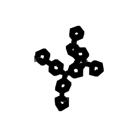 c1ccc(-n2ccc3c4c5cc(N(c6ccc(-c7cccnc7)cc6)c6ccc(-c7ccccn7)cc6)ccc5n(-c5ccccc5)c4ccc32)cc1